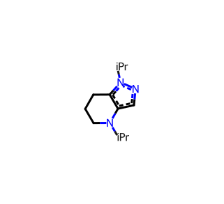 CC(C)N1CCCc2c1cnn2C(C)C